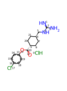 Cl.N=C(N)NC[C@H]1CC[C@H](C(=O)Oc2ccc(Cl)cc2)CC1